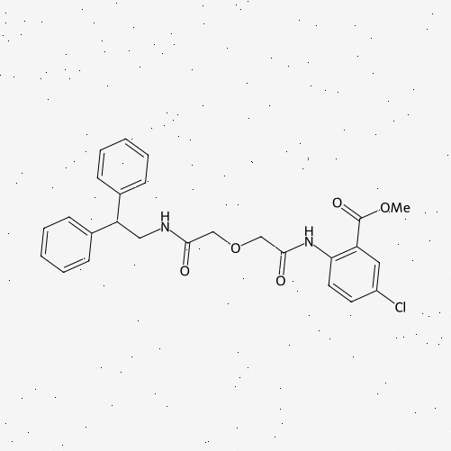 COC(=O)c1cc(Cl)ccc1NC(=O)COCC(=O)NCC(c1ccccc1)c1ccccc1